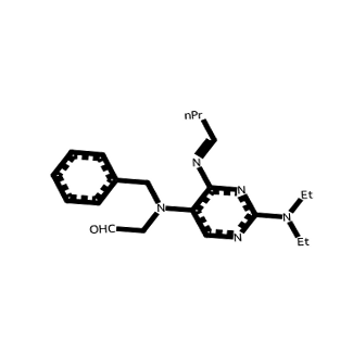 [CH2]CCC=Nc1nc(N(CC)CC)ncc1N(CC=O)Cc1ccccc1